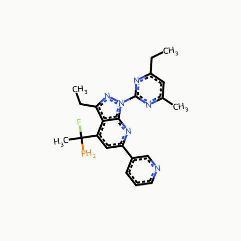 CCc1cc(C)nc(-n2nc(CC)c3c(C(C)(F)P)cc(-c4cccnc4)nc32)n1